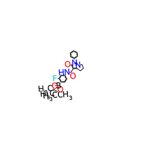 CC1(C)OB(c2ccc(NC(=O)c3c4n(n(-c5ccccc5)c3=O)CCC4)cc2F)OC1(C)C